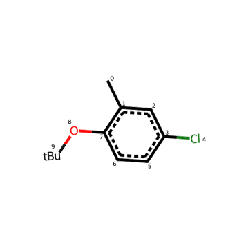 Cc1cc(Cl)ccc1OC(C)(C)C